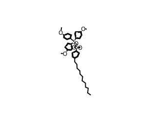 CCCCCCCCCCCCc1ccc(S(=O)(=O)OS(c2ccc(OC)cc2)(c2ccc(OC)cc2)c2ccc(OC)cc2)cc1